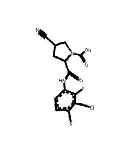 N#CC1CC(C(=O)Nc2ccc(F)c(Cl)c2F)N(C(=O)O)C1